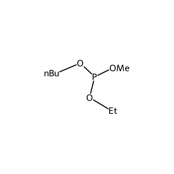 CCCCOP(OC)OCC